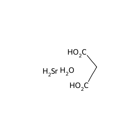 O.O=C(O)CC(=O)O.[SrH2]